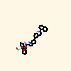 CC1C/C=C(c2ccccc2)/N=C(c2ccc3ccc(-c4ccc5nc(-c6cccc7ccccc67)ccc5c4)cc3n2)\C=C/1c1ccccc1